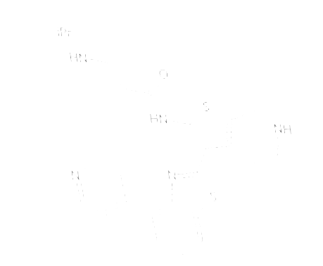 CC(C)NCCC(=O)Nc1sc2c(c1-c1nc3c(-c4ccncc4)cccc3s1)CCNC2